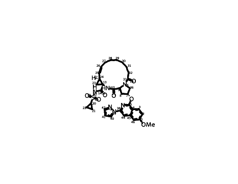 COc1ccc2c(O[C@@H]3CC4C(=O)N[C@]5(C(=O)NS(=O)(=O)C6CC6)C[C@H]5/C=C\CCCCCCC(=O)N4C3)nc(-n3cccn3)cc2c1